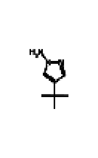 CC(C)(C)c1cnn(N)c1